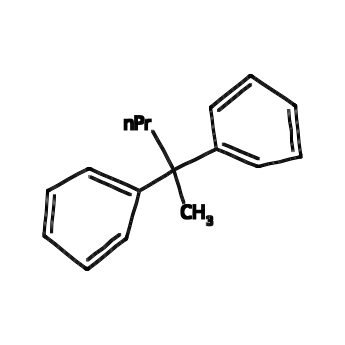 CCCC(C)(c1ccccc1)c1ccccc1